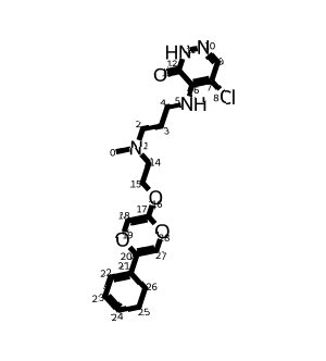 CN(CCCNc1c(Cl)cn[nH]c1=O)CCOC1=COC(C2=CC=CCC2)=CO1